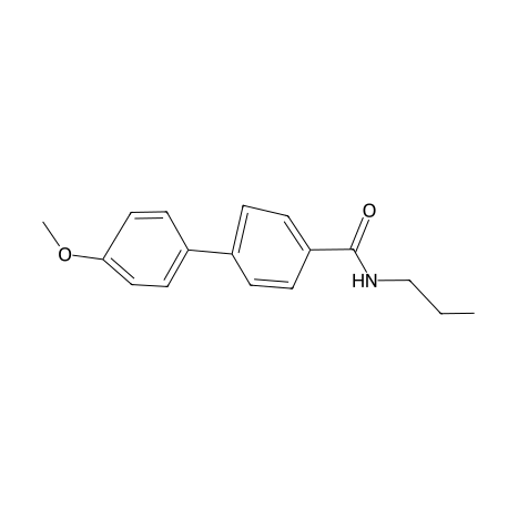 CCCNC(=O)c1ccc(-c2ccc(OC)cc2)cc1